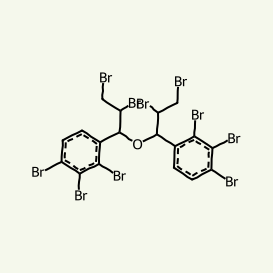 BrCC(Br)C(OC(c1ccc(Br)c(Br)c1Br)C(Br)CBr)c1ccc(Br)c(Br)c1Br